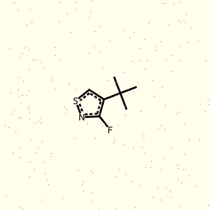 CC(C)(C)c1csnc1F